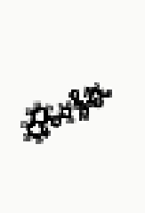 Cc1cnc(NC(=O)[C@H]2C[C@H](Oc3cccc4cccnc34)C2)o1